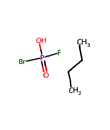 CCCC.O=P(O)(F)Br